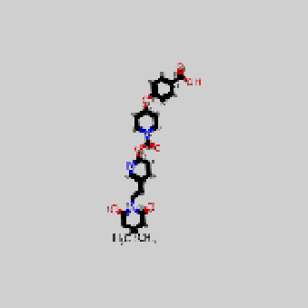 CC1(C)CC(=O)N(CCc2ccc(OC(=O)N3CCC(Oc4ccc(C(=O)O)cc4)CC3)nc2)C(=O)C1